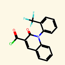 O=C(Cl)c1cc2ccccc2n(-c2ccccc2C(F)(F)F)c1=O